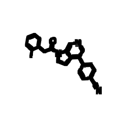 Cc1ccccc1CC(=O)N1CCc2c(-c3ccc(C#N)cc3)cncc21